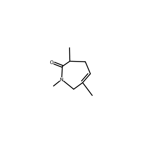 CC1=CCC(C)C(=O)N(C)C1